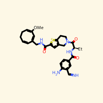 CC[C@@H](NC(=O)c1ccc(N)c(C=N)c1)C(=O)N1CCc2sc(C(=O)NCC3=C/C(OC)=C\CC/C=C\3)cc2C1